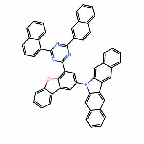 c1ccc2cc(-c3nc(-c4cccc5ccccc45)nc(-c4cc(-n5c6cc7ccccc7cc6c6cc7ccccc7cc65)cc5c4oc4ccccc45)n3)ccc2c1